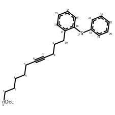 CCCCCCCCCCCCCCCC#CCCCc1[c]cccc1Sc1ccccc1